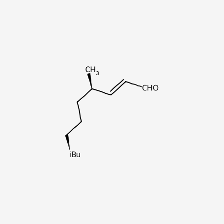 CC[C@H](C)CCC[C@@H](C)C=CC=O